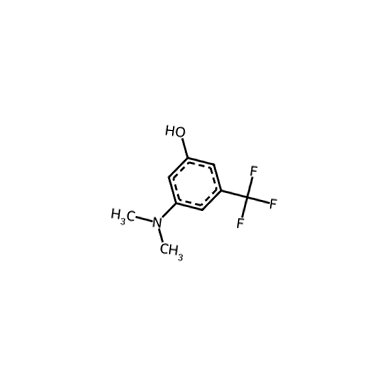 CN(C)c1cc(O)cc(C(F)(F)F)c1